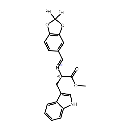 [2H]C1([2H])Oc2ccc(/C=N/[C@H](Cc3c[nH]c4ccccc34)C(=O)OC)cc2O1